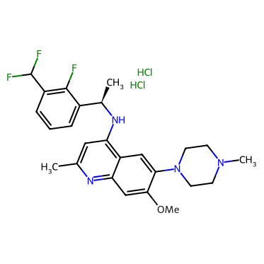 COc1cc2nc(C)cc(N[C@H](C)c3cccc(C(F)F)c3F)c2cc1N1CCN(C)CC1.Cl.Cl